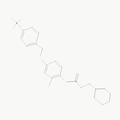 Nc1cc(NCc2ccc(C(F)(F)F)cc2)ccc1NC(=O)CCC1CCCCC1